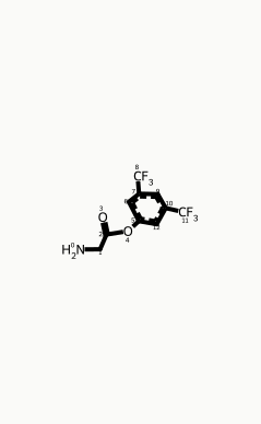 NCC(=O)Oc1cc(C(F)(F)F)cc(C(F)(F)F)c1